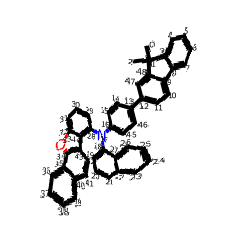 CC1(C)c2ccccc2-c2ccc(-c3ccc(N(c4cccc5ccccc45)c4cccc5oc6c7ccccc7ccc6c45)cc3)cc21